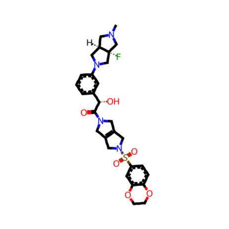 CN1C[C@@H]2CN(c3cccc([C@H](O)C(=O)N4CC5=C(C4)CN(S(=O)(=O)c4ccc6c(c4)OCCO6)C5)c3)C[C@]2(F)C1